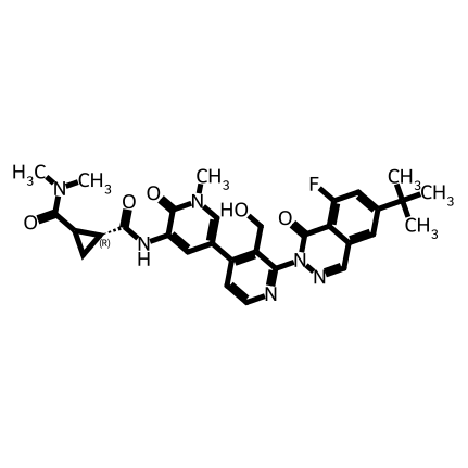 CN(C)C(=O)C1C[C@H]1C(=O)Nc1cc(-c2ccnc(-n3ncc4cc(C(C)(C)C)cc(F)c4c3=O)c2CO)cn(C)c1=O